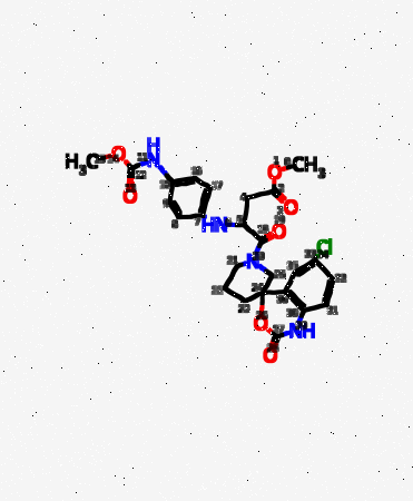 COC(=O)CC(Nc1ccc(NC(=O)OC)cc1)C(=O)N1CCCC2(C1)OC(=O)Nc1ccc(Cl)cc12